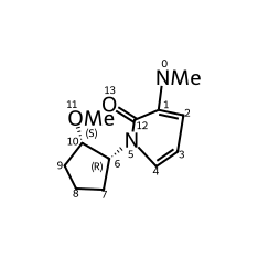 CNc1cccn([C@@H]2CCC[C@@H]2OC)c1=O